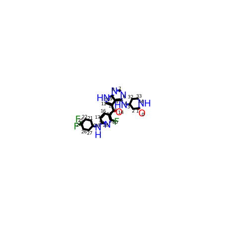 O=C1CC(Nc2ncnc3[nH]cc(C(=O)c4ccc(NC5CCC(F)(F)CC5)nc4F)c23)CCN1